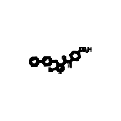 O=C(NC1CCC(C(=O)O)CC1)c1csc(Br)c1Cc1ccc(-c2ccccc2)cc1